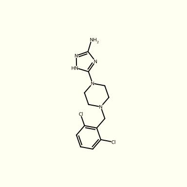 Nc1n[nH]c(N2CCN(Cc3c(Cl)cccc3Cl)CC2)n1